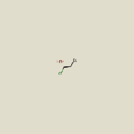 Br.CCCCCl